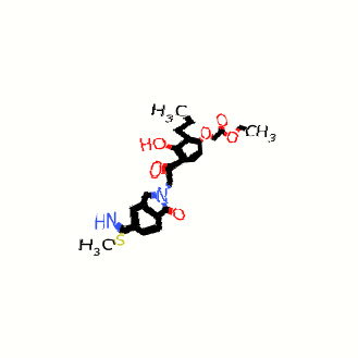 CCCc1c(OCC(=O)OCC)ccc(C(=O)CN2Cc3cc(C(=N)SC)ccc3C2=O)c1O